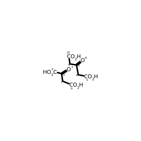 O=C(O)CC(=O)C(=O)O.O=C(O)CC(=O)CC(=O)O